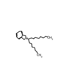 CCCCCCCCC(CCCCCCC)N1CC2=CC=CCC=C2C1